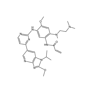 C=CC(=O)Nc1cc(Nc2nccc(-c3cnc4nc(OC)n(C(C)C)c4c3)n2)c(OC)cc1N(C)CCN(C)C